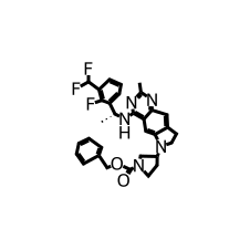 Cc1nc(N[C@H](C)c2cccc(C(F)F)c2F)c2cc3c(cc2n1)CCN3C1CCN(C(=O)OCc2ccccc2)C1